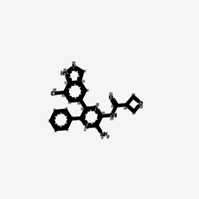 Nc1nc(-c2ccccc2)c(-c2cc(Cl)c3[nH]ncc3c2)nc1NC(=O)C1COC1